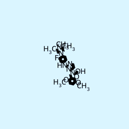 COc1ccc(OC)c(CN(C(=O)O)c2ccnc(Nc3ccc(N4C[C@@H](C)N(C)[C@@H](C)C4)c(F)c3)n2)c1